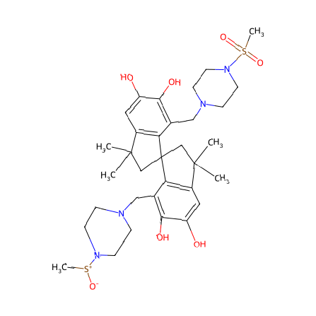 C[S+]([O-])N1CCN(Cc2c(O)c(O)cc3c2C2(CC3(C)C)CC(C)(C)c3cc(O)c(O)c(CN4CCN(S(C)(=O)=O)CC4)c32)CC1